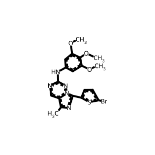 COc1cc(Nc2ncc3c(C)nc(-c4ccc(Br)s4)n3n2)cc(OC)c1OC